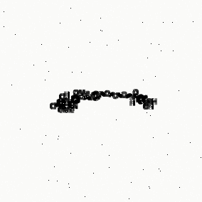 COc1cc(Nc2c(C#N)cnc3cc(OCCCN4CCN(CCOCCOCCOCCNC(=O)c5ccc(B(O)O)c(C)c5)CC4)c(OC)cc23)c(Cl)cc1Cl